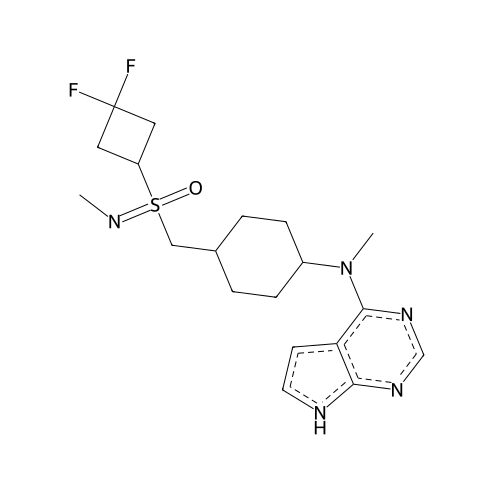 CN=S(=O)(CC1CCC(N(C)c2ncnc3[nH]ccc23)CC1)C1CC(F)(F)C1